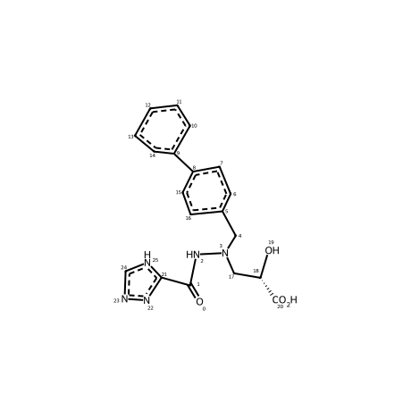 O=C(NN(Cc1ccc(-c2ccccc2)cc1)C[C@H](O)C(=O)O)c1nnc[nH]1